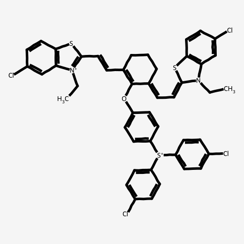 CCN1/C(=C/C=C2\CCCC(/C=C/c3sc4ccc(Cl)cc4[n+]3CC)=C2Oc2ccc([S+](c3ccc(Cl)cc3)c3ccc(Cl)cc3)cc2)Sc2ccc(Cl)cc21